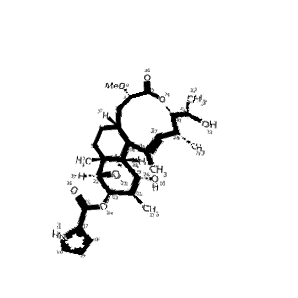 CO[C@H]1C[C@H]2CC[C@]3(C)[C@H]4[C@H](O)[C@@H](C)[C@@H](OC(=O)c5ccc[nH]5)[C@@H]3O[C@@]24/C(C)=C/[C@@H](C)[C@@H]([C@@H](C)O)OC1=O